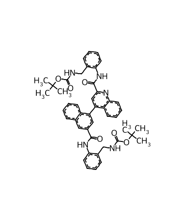 CC(C)(C)OC(=O)NCc1ccccc1NC(=O)c1cc(-c2cc(C(=O)Nc3ccccc3CNC(=O)OC(C)(C)C)nc3ccccc23)c2ccccc2c1